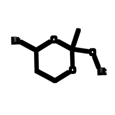 CCOC1(C)OCCC(CC)O1